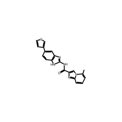 Cc1cccc2nc(C(=O)Nc3nc4cc(-c5ccsc5)ccc4[nH]3)cn12